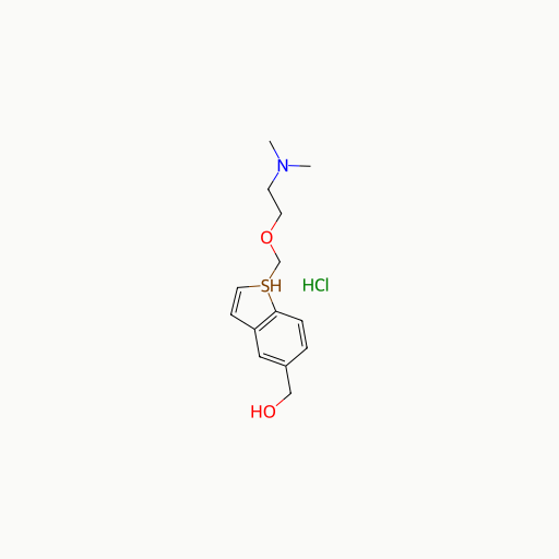 CN(C)CCOC[SH]1C=Cc2cc(CO)ccc21.Cl